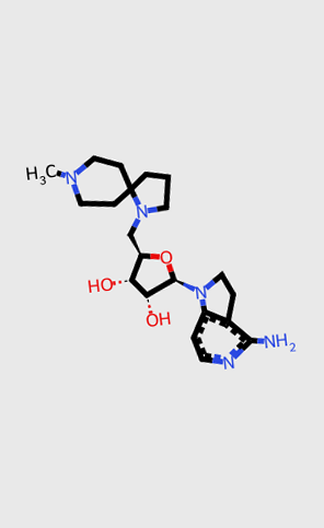 CN1CCC2(CCCN2C[C@H]2O[C@@H](N3CCc4c3ccnc4N)[C@H](O)[C@@H]2O)CC1